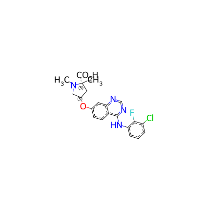 CN1C[C@@H](Oc2ccc3c(Nc4cccc(Cl)c4F)ncnc3c2)C[C@@]1(C)C(=O)O